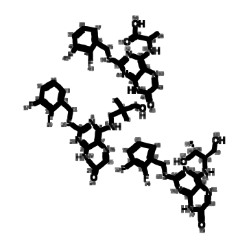 CC(C)(CO)CNc1nc(SCc2cccc(F)c2F)nc2[nH]c(=O)cnc12.CC(Nc1nc(SCc2cccc(F)c2F)nc2[nH]c(=O)cnc12)C(=O)O.C[C@@H](O)[C@@H](CO)Nc1nc(SCc2cccc(F)c2F)nc2[nH]c(=O)cnc12